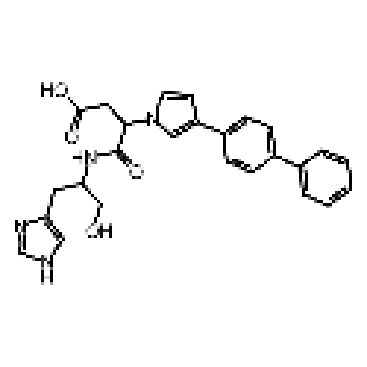 O=C(O)CC(C(=O)NC(CO)Cc1c[nH]cn1)n1ccc(-c2ccc(-c3ccccc3)cc2)c1